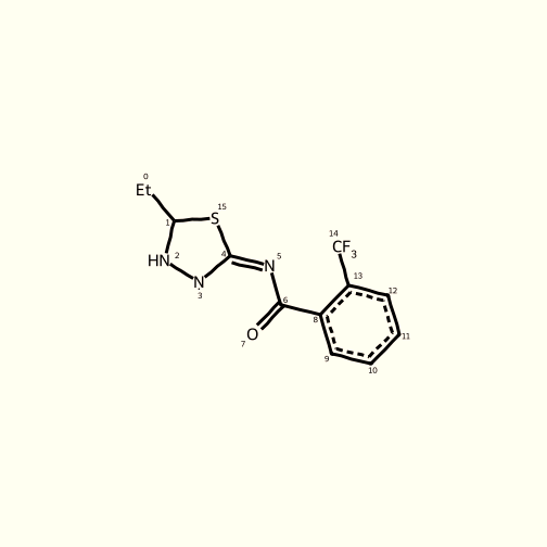 CCC1N[N]C(=NC(=O)c2ccccc2C(F)(F)F)S1